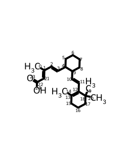 CC(C=CC1CCCCC1C=CC1=C(C)CCCC1(C)C)=CC(=O)O